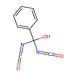 O=C=NC(O)(N=C=O)c1ccccc1